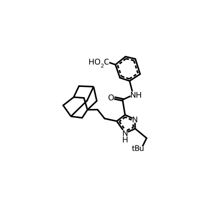 CC(C)(C)Cc1nc(C(=O)Nc2cccc(C(=O)O)c2)c(CCC23CC4CC(CC(C4)C2)C3)[nH]1